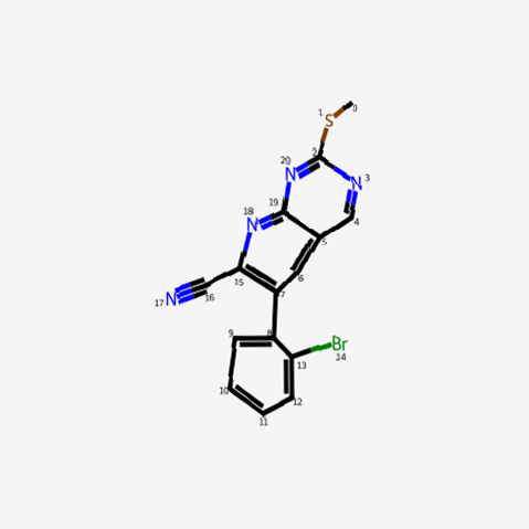 CSc1ncc2cc(-c3ccccc3Br)c(C#N)nc2n1